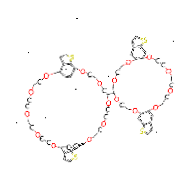 c1cc2cc3c(cc2s1)OCCOCCOCCOc1cc2ccsc2cc1OCCOC(C1COCCOc2ccc(c4ccsc24)OCCOCCOCCOCCOc2ccc(c4sccc24)OCCOCCO1)COCCO3